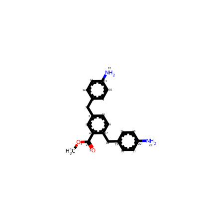 COC(=O)c1cc(Cc2ccc(N)cc2)ccc1Cc1ccc(N)cc1